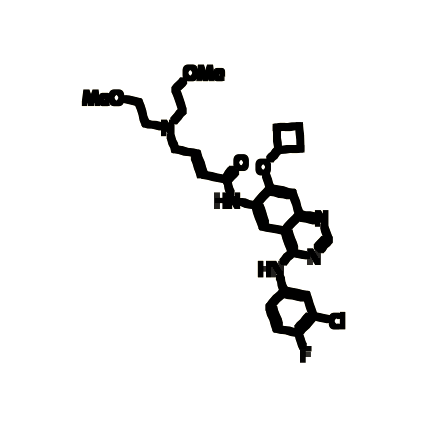 COCCN(C/C=C/C(=O)Nc1cc2c(Nc3ccc(F)c(Cl)c3)ncnc2cc1OC1CCC1)CCOC